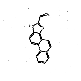 C=Cc1nc2c(ccc3c4ccccc4ccc32)[nH]1